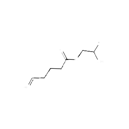 [CH]=CCCCC(=O)OCC(C)C